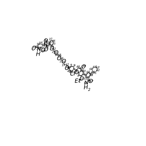 CCOc1cc2oc(-c3ccc(OCCOCCOCCOCCOc4cccc5c4C(=O)N(C4CCC(=O)NC4=O)C5=O)cc3Cl)cc(=O)c2cc1-c1cc(C(N)=O)cc(C2CCCCC2)c1